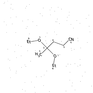 CCOC(C)(CCC#N)OCC